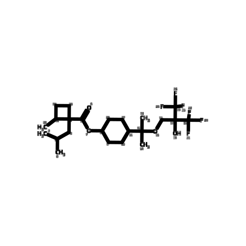 CC(C)CC1(C(=O)OC2CCC(C(C)(C)OCC(O)(C(F)(F)F)C(F)(F)F)CC2)CCC1C